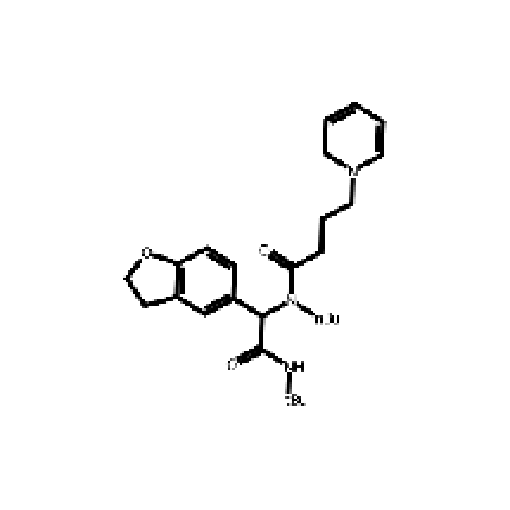 CCCCN(C(=O)CCCN1C=CC=CC1)C(C(=O)NC(C)(C)C)c1ccc2c(c1)CCO2